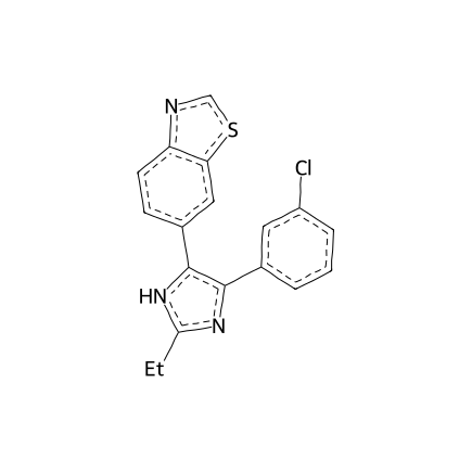 CCc1nc(-c2cccc(Cl)c2)c(-c2ccc3ncsc3c2)[nH]1